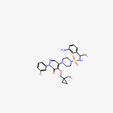 CC(NS(=O)(=O)N1CCN(c2cnn(-c3cccc(Cl)c3)c(=O)c2OCC2(C)CC2)CC1)c1cccc(N)c1